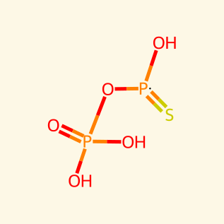 O=P(O)(O)O[P](O)=S